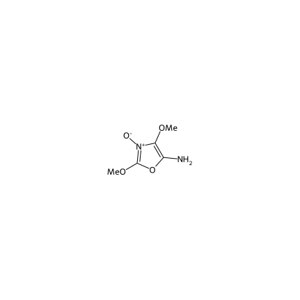 COc1oc(N)c(OC)[n+]1[O-]